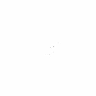 CC[Si](CC)(CC)O[C@H](CCCC=C(C)C)C(=O)N(C)OC